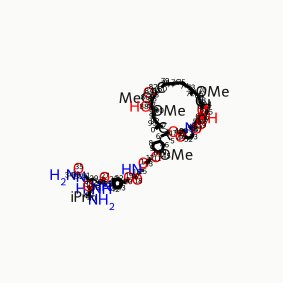 C=C1C[C@@H]([C@@H](C)C[C@H]2CC[C@@H](OCCOCNC(=O)OCc3ccc(NC(=O)[C@H](CCCNC(N)=O)NC(=O)[C@@H](N)C(C)C)cc3)[C@H](OC)C2)OC(=O)C2CCCCN2C(=O)C(=O)[C@]2(O)O[C@@H](CC[C@H]2C)C[C@H](OC)/C(C)=C/C=C/C=C/[C@@H](C)C[C@@H](C)C(=O)[C@H](OC)[C@H](O)/C(OC)=C/[C@H]1C